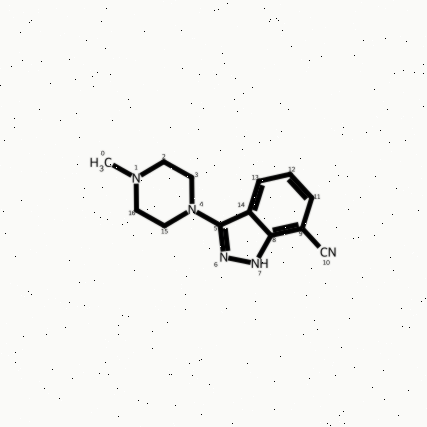 CN1CCN(c2n[nH]c3c(C#N)cccc23)CC1